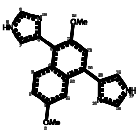 COc1ccc2c(-c3c[nH]cn3)c(OC)cc(-c3c[nH]cn3)c2c1